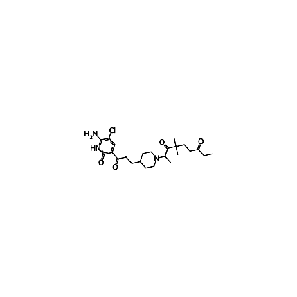 CCC(=O)CCC(C)(C)C(=O)C(C)N1CCC(CCC(=O)c2cc(Cl)c(N)[nH]c2=O)CC1